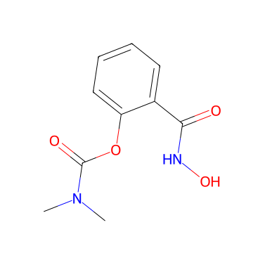 CN(C)C(=O)Oc1ccccc1C(=O)NO